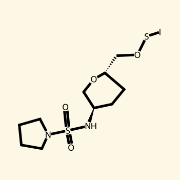 O=S(=O)(N[C@@H]1CC[C@@H](COSI)OC1)N1CCCC1